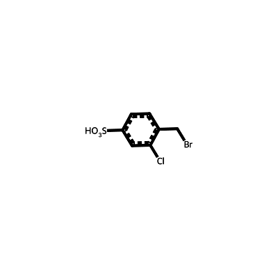 O=S(=O)(O)c1ccc(CBr)c(Cl)c1